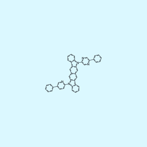 c1ccc(-c2ccc(-n3c4ccccc4c4cc5cc6c(cc5cc43)c3ccccc3n6-c3cnc(-c4ccccc4)cn3)nc2)cc1